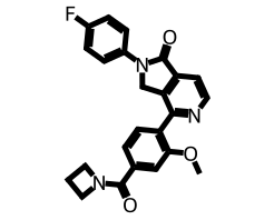 COc1cc(C(=O)N2CCC2)ccc1-c1nccc2c1CN(c1ccc(F)cc1)C2=O